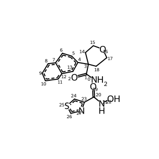 NC(=O)C1(c2ccc3ccccc3c2)CCOCC1.O=C(NO)c1cscn1